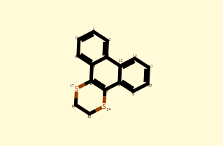 c1ccc2c(c1)c1c(c3ccccc32)SCCS1